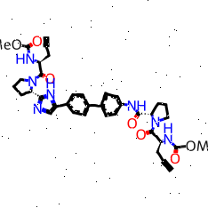 C#CC[C@H](NC(=O)OC)C(=O)N1CCC[C@H]1C(=O)Nc1ccc(-c2ccc(-c3cnc([C@@H]4CCCN4C(=O)[C@H](CC#C)NC(=O)OC)[nH]3)cc2)cc1